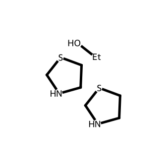 C1CSCN1.C1CSCN1.CCO